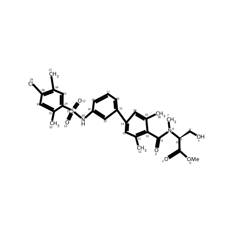 COC(=O)[C@H](CO)N(C)C(=O)c1c(C)cc(-c2cccc(NS(=O)(=O)c3cc(C)c(Cl)cc3C)c2)cc1C